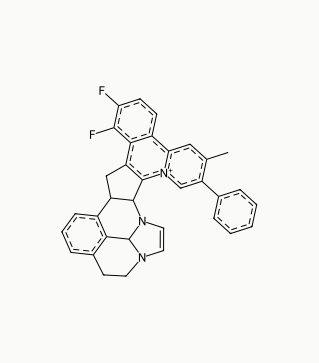 Cc1cc2c3ccc(F)c(F)c3c3c([n+]2cc1-c1ccccc1)C1C(C3)c2cccc3c2C2N(C=CN12)CC3